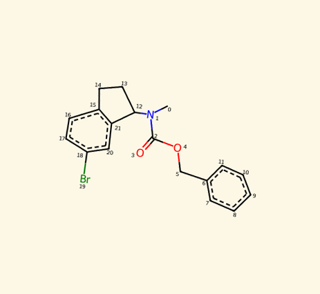 CN(C(=O)OCc1ccccc1)C1CCc2ccc(Br)cc21